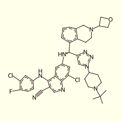 CC(C)(C)N1CCC(n2cc([C@@H](Nc3cc(Cl)c4ncc(C#N)c(Nc5ccc(F)c(Cl)c5)c4c3)c3cccc4c3CCN(C3COC3)C4)nn2)CC1